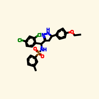 CCOc1ccc(C2CC(C(NS(=O)(=O)c3cccc(C)c3)c3ccc(Cl)cc3Cl)=NN2)cc1